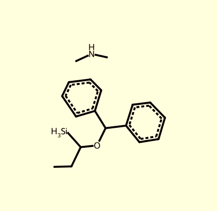 CCC([SiH3])OC(c1ccccc1)c1ccccc1.CNC